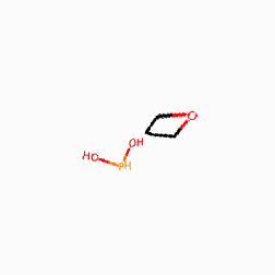 C1COC1.OPO